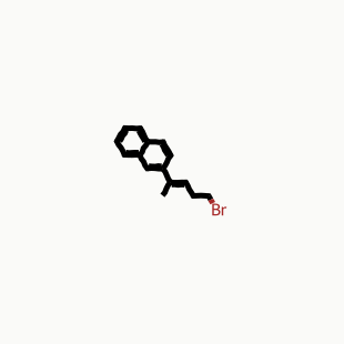 C/C(=C\CCBr)c1ccc2ccccc2c1